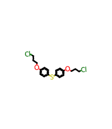 ClCCCOc1ccc(Sc2ccc(OCCCCl)cc2)cc1